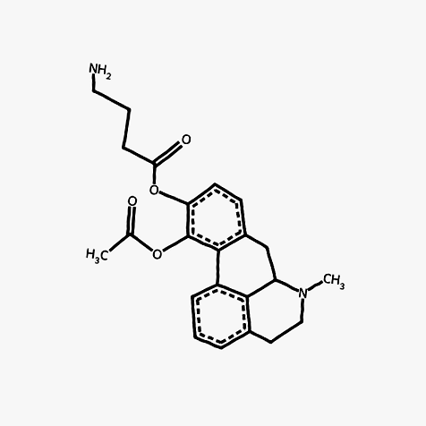 CC(=O)Oc1c(OC(=O)CCCN)ccc2c1-c1cccc3c1C(C2)N(C)CC3